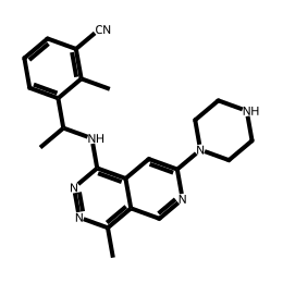 Cc1c(C#N)cccc1C(C)Nc1nnc(C)c2cnc(N3CCNCC3)cc12